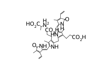 C=CC1=C(C)/C(=C/c2[nH]c(Cc3[nH]c(/C=C4\NC(=O)C(C)=C4C=C)c(C)c3CCC(=O)O)c(CCC(=O)O)c2C)NC1=O.CC(N)C(=O)O